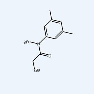 CCCN(C(=O)CC(C)(C)C)c1cc(C)cc(C)c1